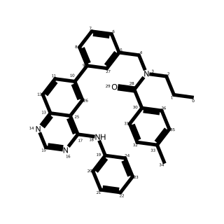 CCCN(Cc1cccc(-c2ccc3ncnc(Nc4ccccc4)c3c2)c1)C(=O)c1ccc(C)cc1